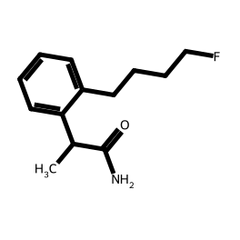 CC(C(N)=O)c1ccccc1CCCCF